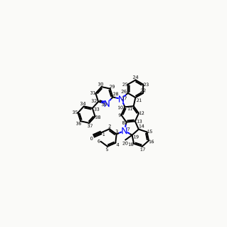 C#C/C=C(\C=C/C)N1c2cc3c(cc2C2C=CC=CC21C)c1ccccc1n3-c1cccc(-c2ccccc2)n1